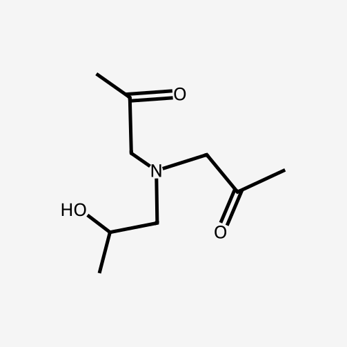 CC(=O)CN(CC(C)=O)CC(C)O